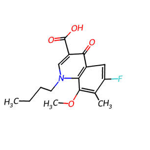 CCCCn1cc(C(=O)O)c(=O)c2cc(F)c(C)c(OC)c21